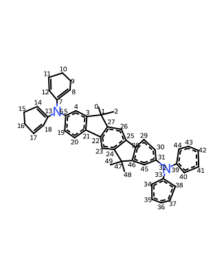 CC1(C)c2cc(N(C3=CCCC=C3)C3=CCCC=C3)ccc2-c2cc3c(cc21)-c1ccc(N(c2ccccc2)c2ccccc2)cc1C3(C)C